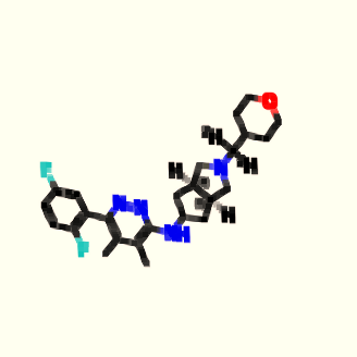 [2H]C([2H])(C1CCOCC1)N1C[C@H]2CC(Nc3nnc(-c4cc(F)ccc4F)c(C)c3C)C[C@H]2C1